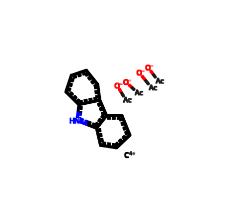 CC(=O)[O-].CC(=O)[O-].CC(=O)[O-].CC(=O)[O-].[C+4].c1ccc2c(c1)[nH]c1ccccc12